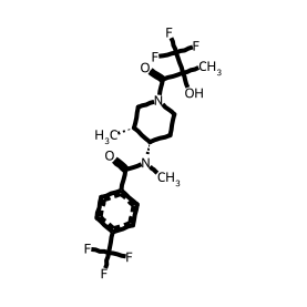 C[C@@H]1CN(C(=O)C(C)(O)C(F)(F)F)CC[C@@H]1N(C)C(=O)c1ccc(C(F)(F)F)cc1